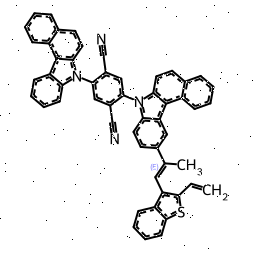 C=Cc1sc2ccccc2c1/C=C(\C)c1ccc2c(c1)c1c3ccccc3ccc1n2-c1cc(C#N)c(-n2c3ccccc3c3c4ccccc4ccc32)cc1C#N